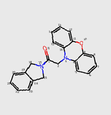 O=C(CN1c2ccccc2Oc2ccccc21)N1Cc2ccccc2C1